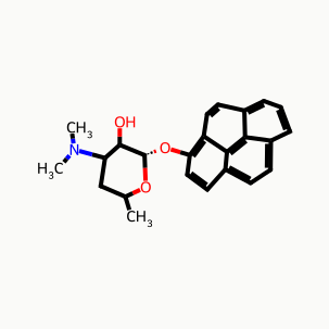 CC1CC(N(C)C)C(O)[C@H](Oc2ccc3ccc4cccc5ccc2c3c45)O1